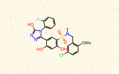 COc1ccc(Cl)cc1CN(C)S(=O)(=O)c1cc(-c2nnc(O)n2-c2ccccc2F)c(O)cc1O